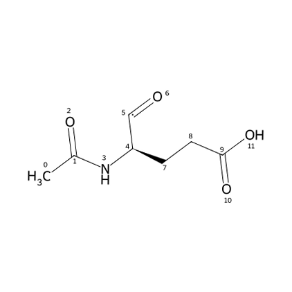 CC(=O)N[C@@H]([C]=O)CCC(=O)O